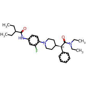 CCC(CC)C(=O)Nc1ccc(N2CCC([C@@H](C(=O)N(CC)CC)c3ccccc3)CC2)c(F)c1